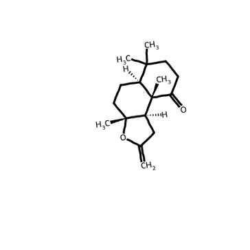 C=C1C[C@@H]2[C@@]3(C)C(=O)CCC(C)(C)[C@@H]3CC[C@@]2(C)O1